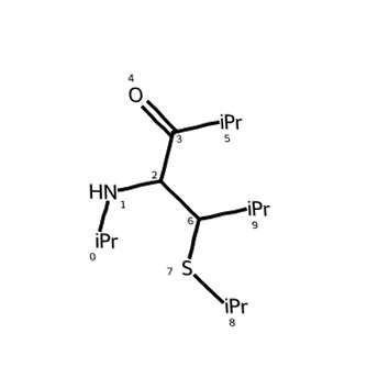 CC(C)NC(C(=O)C(C)C)C(SC(C)C)C(C)C